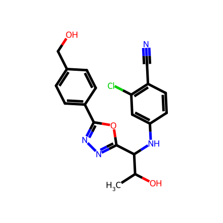 CC(O)C(Nc1ccc(C#N)c(Cl)c1)c1nnc(-c2ccc(CO)cc2)o1